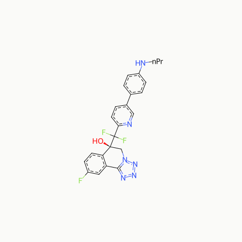 CCCNc1ccc(-c2ccc(C(F)(F)[C@]3(O)Cn4nnnc4-c4cc(F)ccc43)nc2)cc1